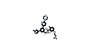 Cc1ccc(OCCN(C)C)cc1C(=O)N[C@H](C)c1cc(-c2ccc(N3CCOCC3)nc2)cc(-c2cnn(C)c2)c1